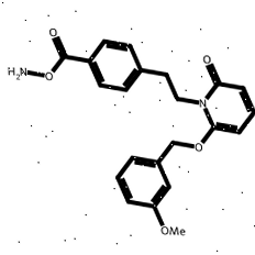 COc1cccc(COc2cccc(=O)n2CCc2ccc(C(=O)ON)cc2)c1